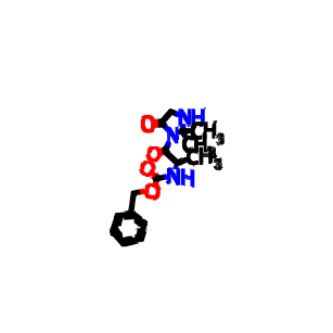 CC(NC(=O)OCc1ccccc1)C(=O)N1C(=O)CNC1(C)C